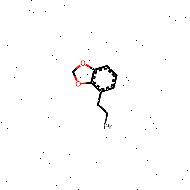 CC(C)CCc1cccc2c1OCO2